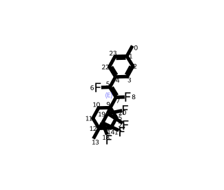 Cc1ccc(/C(F)=C(\F)C23CCC(C)(CC2)C(F)(F)C3(F)F)cc1